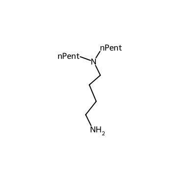 CCCCCN(CCCCC)CCCCN